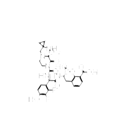 NC1(CN2CCN(C(=O)NC(C(=O)N[C@H]3Cc4cccc(C(=O)O)c4OB3O)c3ccc(O)c(F)c3F)C(=O)C2=O)CC1